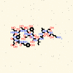 CC[C@H](C)[C@H](NC(=O)[C@H](CO)NC(=O)[C@H](Cc1ccc(O)cc1)NC(=O)[C@H](CC(=O)O)NC(=O)[C@H](CO)NC(=O)[C@@H](NC(=O)[C@H](Cc1ccccc1)NC(=O)[C@@H](NC(=O)CNC(=O)[C@H](CCC(=O)O)NC(=O)C(C)(C)NC(=O)[C@@H](N)Cc1ccc(O)cc1)[C@@H](C)O)[C@@H](C)O)C(=O)NC(C)(C)C(=O)N[C@@H](CC(C)C)C(=O)N[C@@H](CC(=O)O)C(=O)N[C@@H](CCCCN)C(=O)O